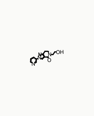 O=C1c2cn(-c3cccnc3)nc2CCN1CCO